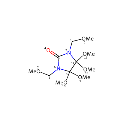 COCN1C(=O)N(COC)C(OC)(OC)C1(OC)OC